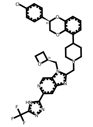 FC(F)(F)c1nnc(-c2cc3nc(CN4CCC(c5cccc6c5OC[C@@H](c5ccc(Cl)cc5)O6)CC4)n(C[C@@H]4CCO4)c3cn2)[nH]1